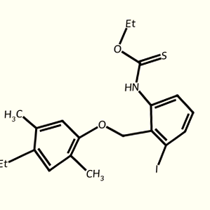 CCOC(=S)Nc1cccc(I)c1COc1cc(C)c(CC)cc1C